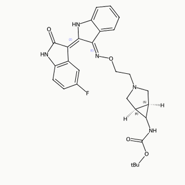 CC(C)(C)OC(=O)NC1[C@H]2CN(CCO/N=C3/C(=C4/C(=O)Nc5ccc(F)cc54)Nc4ccccc43)C[C@@H]12